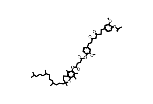 C=C(C)Oc1ccc(CCC(=O)CC(=O)CCc2ccc(OC(=O)CCC(=O)Oc3c(C)c(C)c4c(c3C)CCC(C)(CCCC(C)CCCC(C)CCCC(C)C)O4)c(OC)c2)cc1OC